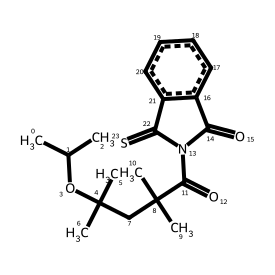 CC(C)OC(C)(C)CC(C)(C)C(=O)N1C(=O)c2ccccc2C1=S